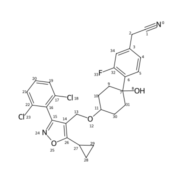 N#CCc1ccc(C2(O)CCC(OCc3c(-c4c(Cl)cccc4Cl)noc3C3CC3)CC2)c(F)c1